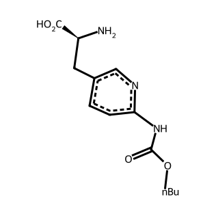 CCCCOC(=O)Nc1ccc(C[C@H](N)C(=O)O)cn1